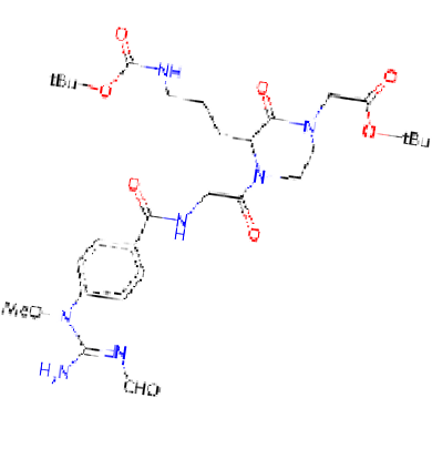 CON(C(N)=NC=O)c1ccc(C(=O)NCC(=O)N2CCN(CC(=O)OC(C)(C)C)C(=O)C2CCCNC(=O)OC(C)(C)C)cc1